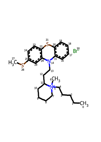 CCCCC[N+]1(C)CCCCC1CCN1c2ccccc2Sc2ccc(SC)cc21.[Br-]